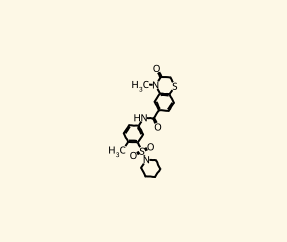 Cc1ccc(NC(=O)c2ccc3c(c2)N(C)C(=O)CS3)cc1S(=O)(=O)N1CCCCC1